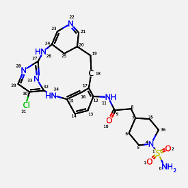 NS(=O)(=O)N1CCC(CC(=O)Nc2ccc3cc2CCC2C=NC=C(C2)Nc2ncc(Cl)c(n2)N3)CC1